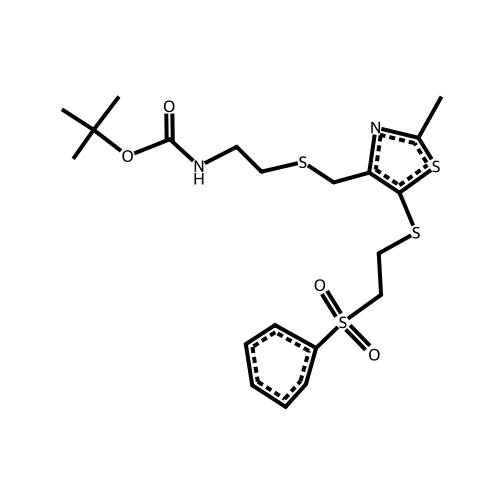 Cc1nc(CSCCNC(=O)OC(C)(C)C)c(SCCS(=O)(=O)c2ccccc2)s1